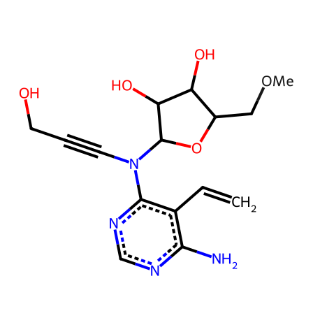 C=Cc1c(N)ncnc1N(C#CCO)C1OC(COC)C(O)C1O